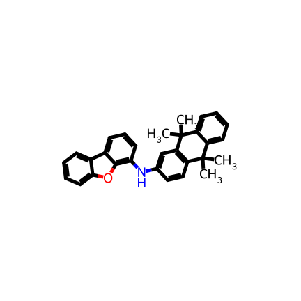 CC1(C)c2ccccc2C(C)(C)c2cc(Nc3cccc4c3oc3ccccc34)ccc21